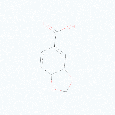 O=C(O)C1=CC2OCOC2C=C1